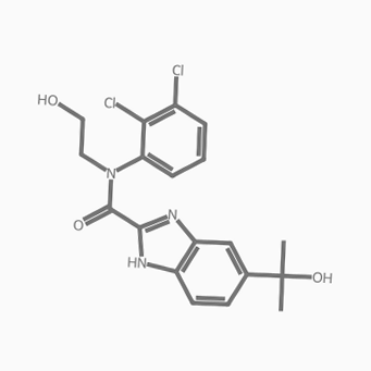 CC(C)(O)c1ccc2[nH]c(C(=O)N(CCO)c3cccc(Cl)c3Cl)nc2c1